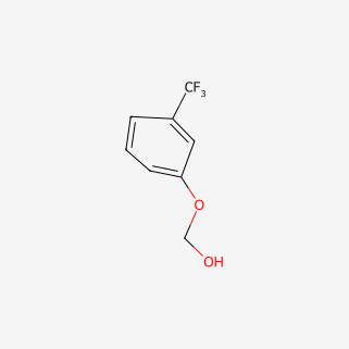 OCOc1cccc(C(F)(F)F)c1